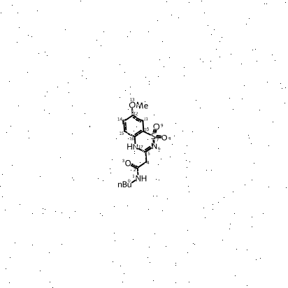 CCCCNC(=O)CC1=NS(=O)(=O)c2cc(OC)ccc2N1